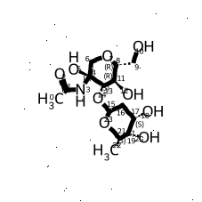 CC(=O)N[C@]1(O)[CH]O[C@H](CO)[C@@H](O)[C@@H]1OC1C[C@H](O)[C@H](O)[C@H](C)O1